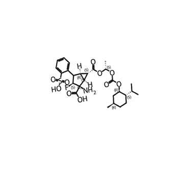 CC(C)[C@@H]1CC[C@@H](C)C[C@H]1OC(=O)O[C@@H](C)OC(=O)[C@H]1[C@@H]2C(c3ccccc3S(=O)(=O)O)[C@H](F)[C@@](N)(C(=O)O)[C@H]12